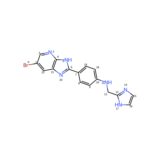 Brc1cnc2[nH]c(-c3ccc(NCc4ncc[nH]4)cc3)nc2c1